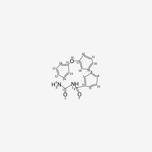 NC(=O)NC(=O)c1ccccc1.c1ccc(Oc2ccccc2)cc1